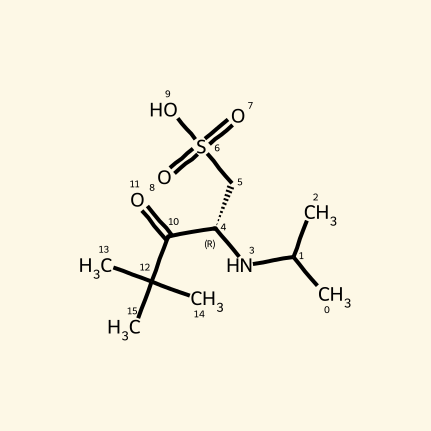 CC(C)N[C@@H](CS(=O)(=O)O)C(=O)C(C)(C)C